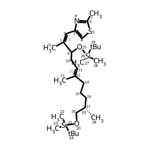 C/C(=C/c1csc(C)n1)C(C/C=C(\C)CCC[C@H](C)CO[Si](C)(C)C(C)(C)C)O[Si](C)(C)C(C)(C)C